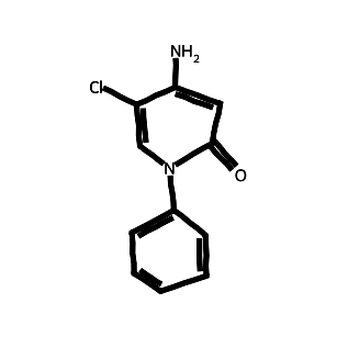 Nc1cc(=O)n(-c2ccccc2)cc1Cl